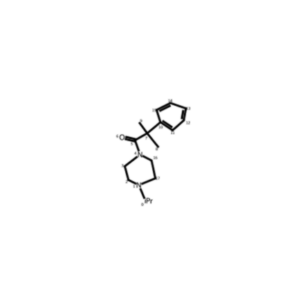 CC(C)N1CCN(C(=O)C(C)(C)c2ccccc2)CC1